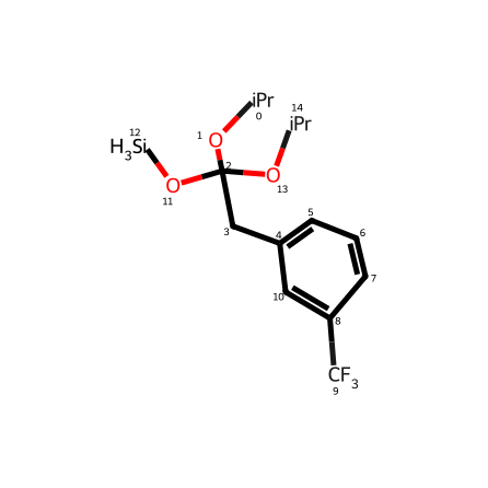 CC(C)OC(Cc1cccc(C(F)(F)F)c1)(O[SiH3])OC(C)C